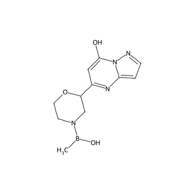 CB(O)N1CCOC(c2cc(O)n3nccc3n2)C1